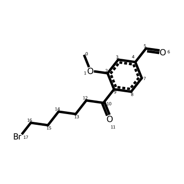 COc1cc(C=O)ccc1C(=O)CCCCCBr